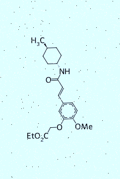 CCOC(=O)COc1cc(C=CC(=O)N[C@H]2CC[C@H](C)CC2)ccc1OC